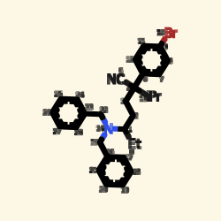 CCC(CCC(C#N)(c1ccc(Br)cc1)C(C)C)N(Cc1ccccc1)Cc1ccccc1